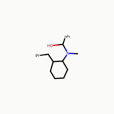 CCCC(O)N(C)C1CCCCC1CC(C)C